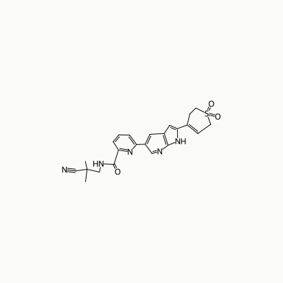 CC(C)(C#N)CNC(=O)c1cccc(-c2cnc3[nH]c(C4=CCS(=O)(=O)CC4)cc3c2)n1